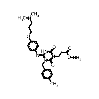 Cc1ccc(Cn2c(=O)n(CCC(=O)ON)c(=O)[nH]/c2=N\c2ccc(OCCCN(C)C)cc2)cc1